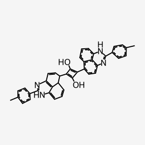 Cc1ccc(C2=NC3=C4C(=CC=CC4C(C4=C(O)C(c5ccc6c7c(cccc57)NC(c5ccc(C)cc5)=N6)=C4O)C=C3)N2)cc1